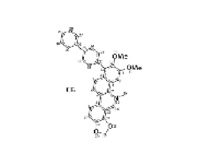 COc1cc2c(ccc3c4ccc5c(c4c[n+](C)c23)OCO5)c(-c2ccc(-c3ccccc3)cc2)c1OC.[Cl-]